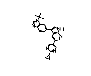 CC(C)(C)n1cnc2ccc(-c3c[nH]c4ncc(-c5cnc(C6CC6)nc5)cc34)cc21